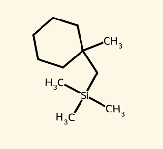 CC1(C[Si](C)(C)C)CCCCC1